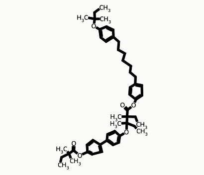 CCC(C)(C)Oc1ccc(CCCCCCCc2ccc(OC(=O)C(C)(CC)C(C)(CC)Oc3ccc(-c4ccc(OC(=O)C(C)(C)CC)cc4)cc3)cc2)cc1